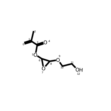 C=C(C)C(=O)OC1OC1OCCO